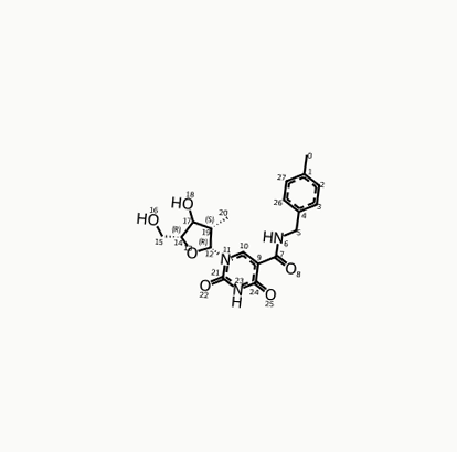 Cc1ccc(CNC(=O)c2cn([C@@H]3O[C@H](CO)C(O)[C@@H]3C)c(=O)[nH]c2=O)cc1